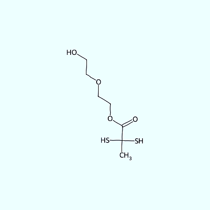 CC(S)(S)C(=O)OCCOCCO